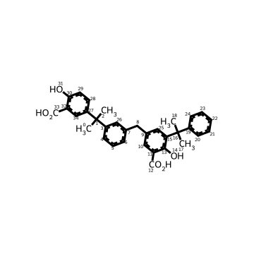 CC(C)(c1cccc(Cc2cc(C(=O)O)c(O)c(C(C)(C)c3ccccc3)c2)c1)c1ccc(O)c(C(=O)O)c1